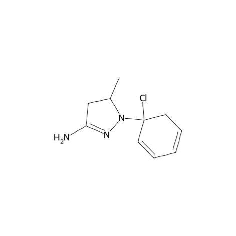 CC1CC(N)=NN1C1(Cl)C=CC=CC1